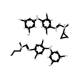 CCCN(C)C=Nc1cc(C)c(Oc2cc(I)cc(I)c2)cc1C.Cc1cc(Oc2cc(I)cc(I)c2)c(C)cc1N=CN(C)C1CC1